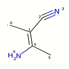 [CH2]C(C#N)=C(C)N